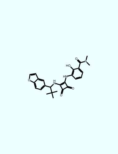 CN(C)C(=O)c1cccc(Nc2c(NC(c3ccc4occc4c3)C(C)(C)C)c(=O)c2=O)c1O